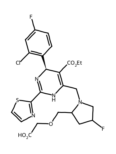 CCOC(=O)C1=C(CN2CC(F)CC2COCC(=O)O)NC(c2nccs2)=N[C@H]1c1ccc(F)cc1Cl